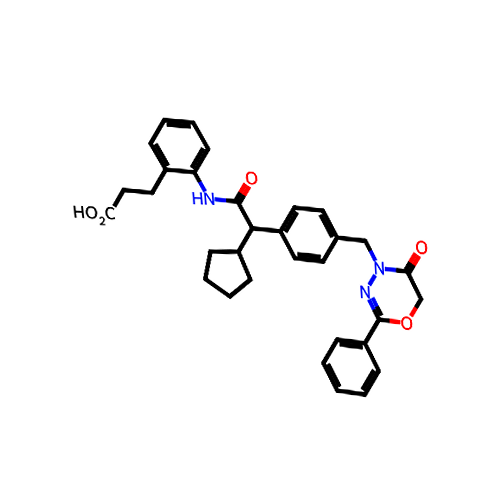 O=C(O)CCc1ccccc1NC(=O)C(c1ccc(CN2N=C(c3ccccc3)OCC2=O)cc1)C1CCCC1